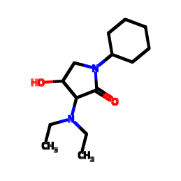 CCN(CC)C1C(=O)N(C2CCCCC2)CC1O